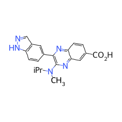 CC(C)N(C)c1nc2cc(C(=O)O)ccc2nc1-c1ccc2[nH]ncc2c1